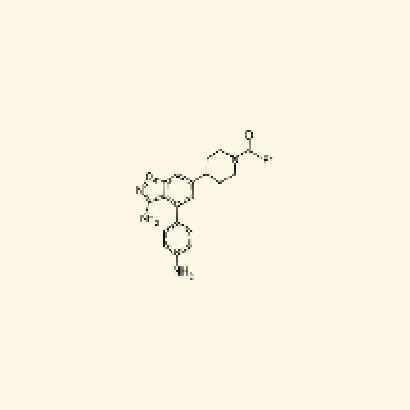 CC(C)C(=O)N1CCC(c2cc(-c3ccc(N)cc3)c3c(N)noc3c2)CC1